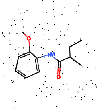 CCC(C)C(=O)Nc1c[c]ccc1OC